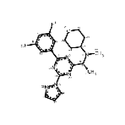 C[C@@H](c1nc(-c2cc(F)cc(F)c2)nc(-n2cccn2)n1)N(C)C1CCOCC1